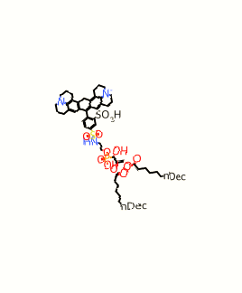 CCCCCCCCCCCCCCCC(=O)OCC(OC(=O)CCCCCCCCCCCCCCC)C(O)P(=O)(O)OCCNS(=O)(=O)c1ccc(C2=c3cc4c5c(c3Cc3c2cc2c6c3CCCN6CCC2)CCC[N+]=5CCC4)c(S(=O)(=O)O)c1